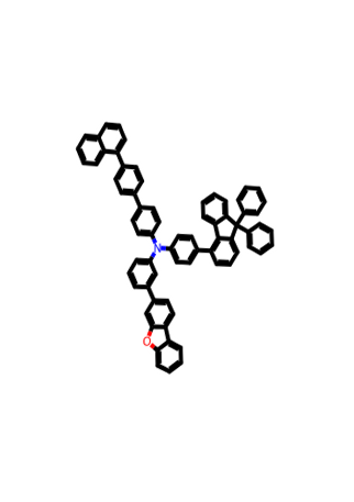 c1ccc(C2(c3ccccc3)c3ccccc3-c3c(-c4ccc(N(c5ccc(-c6ccc(-c7cccc8ccccc78)cc6)cc5)c5cccc(-c6ccc7c(c6)oc6ccccc67)c5)cc4)cccc32)cc1